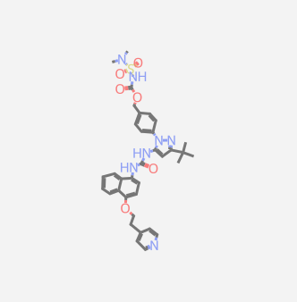 CN(C)S(=O)(=O)NC(=O)OCc1ccc(-n2nc(C(C)(C)C)cc2NC(=O)Nc2ccc(OCCc3ccncc3)c3ccccc23)cc1